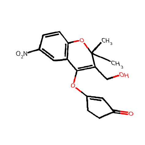 CC1(C)Oc2ccc([N+](=O)[O-])cc2C(OC2=CC(=O)CC2)=C1CO